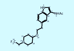 CC(=O)Nc1c[nH]c2ccc(CCOC3CCN(CC(F)(F)F)CC3)cc12